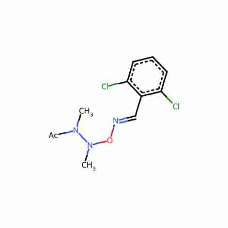 CC(=O)N(C)N(C)ON=Cc1c(Cl)cccc1Cl